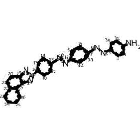 Nc1ccc(N=Nc2ccc(N=Nc3ccc(-n4nc5ccc6ccccc6c5n4)cc3)cc2)cc1